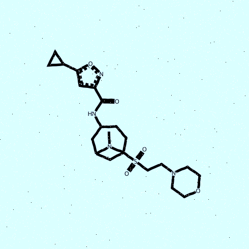 CN1C2CC(NC(=O)c3cc(C4CC4)on3)CCC1(S(=O)(=O)CCN1CCOCC1)C2